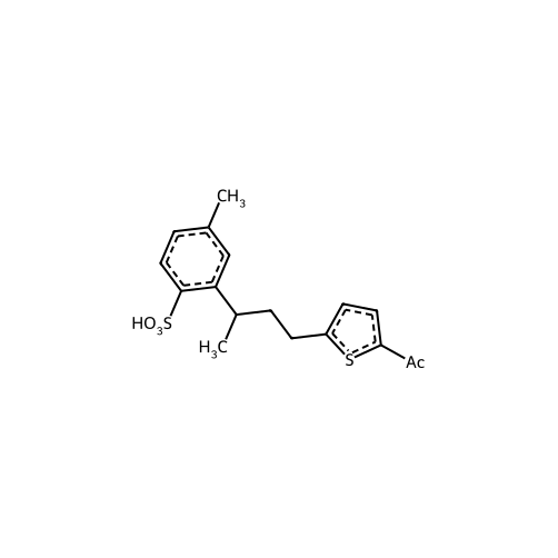 CC(=O)c1ccc(CCC(C)c2cc(C)ccc2S(=O)(=O)O)s1